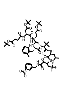 Cc1ccccc1C[C@H](NC(=O)[C@H](CCC(=O)OC(C)(C)C)NC(=O)[C@H](CC(=O)OC(C)(C)C)NC(=O)CCC(=O)OC(C)(C)C)C(=O)N[C@H](C(=O)N[C@@H](CC(C)C)C(=O)NC(CC(F)(F)F)C(=O)C(=O)NCc1cccc([N+](=O)[O-])c1)C(C)(C)C